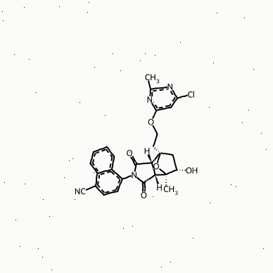 Cc1nc(Cl)cc(OCC[C@]23C[C@H](O)[C@](C)(O2)[C@@H]2C(=O)N(c4ccc(C#N)c5ccccc45)C(=O)[C@@H]23)n1